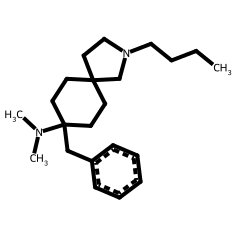 CCCCN1CCC2(CCC(Cc3ccccc3)(N(C)C)CC2)C1